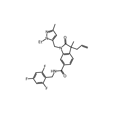 C=CCC1(C)C(=O)N(Cc2cc(C)nn2CC)c2cc(C(=O)NCc3c(F)cc(F)cc3F)ccc21